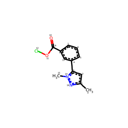 Cc1cc(-c2cccc(C(=O)OCl)c2)n(C)n1